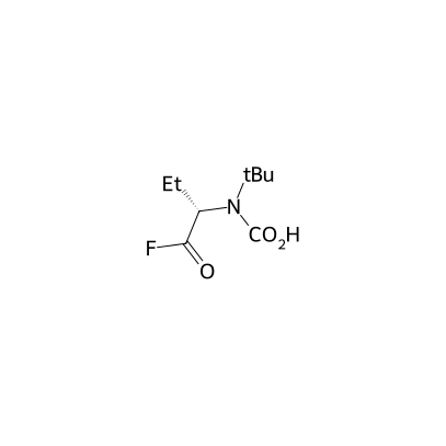 CC[C@@H](C(=O)F)N(C(=O)O)C(C)(C)C